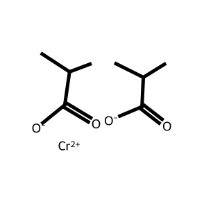 CC(C)C(=O)[O-].CC(C)C(=O)[O-].[Cr+2]